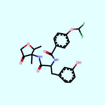 CC1OCC(=O)C1(C)NC(=O)C(Cc1cccc(O)c1)NC(=O)c1ccc(OC(F)F)cc1